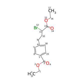 CCOC(=O)c1ccc(CCC(Br)C(=O)OCC)cc1